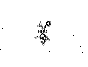 CCCN1C[C@@H](NC(=O)N(CCc2ccccc2)CCN(C)C)C[C@@H]2CC(=O)C(=CN(C)C)C[C@H]21